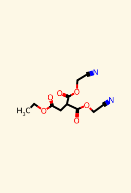 CCOC(=O)CC(C(=O)OCC#N)C(=O)OCC#N